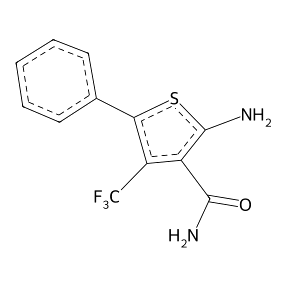 NC(=O)c1c(N)sc(-c2ccccc2)c1C(F)(F)F